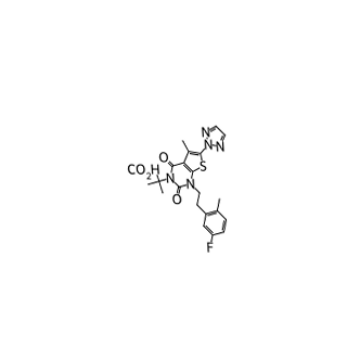 Cc1ccc(F)cc1CCn1c(=O)n(C(C)(C)C(=O)O)c(=O)c2c(C)c(-n3nccn3)sc21